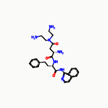 NCCN(CCN)C(=O)C[C@H](N)C(=O)N[C@@H](CCc1ccccc1)C(=O)Nc1nccc2ccccc12